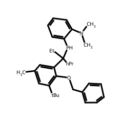 CCCC(CC)(Pc1ccccc1N(C)C)c1cc(C)cc(C(C)(C)C)c1OCc1ccccc1